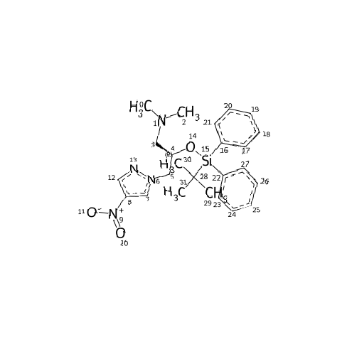 CN(C)C[C@H](Cn1cc([N+](=O)[O-])cn1)O[Si](c1ccccc1)(c1ccccc1)C(C)(C)C